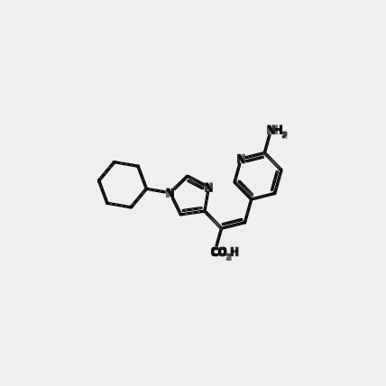 Nc1ccc(C=C(C(=O)O)c2cn(C3CCCCC3)cn2)cn1